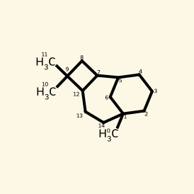 CC12CCC[C](C1)C1CC(C)(C)C1CC2